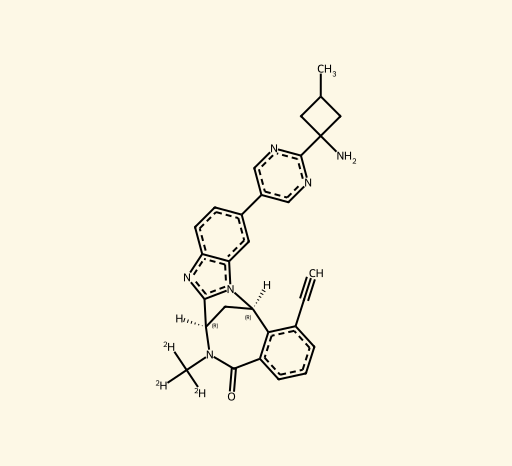 [2H]C([2H])([2H])N1C(=O)c2cccc(C#C)c2[C@H]2C[C@@H]1c1nc3ccc(-c4cnc(C5(N)CC(C)C5)nc4)cc3n12